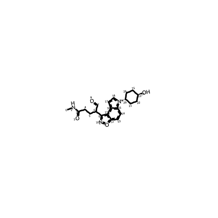 CNC(=O)CCC(C=O)c1noc2ccc3c(ccn3[C@H]3CC[C@H](O)CC3)c12